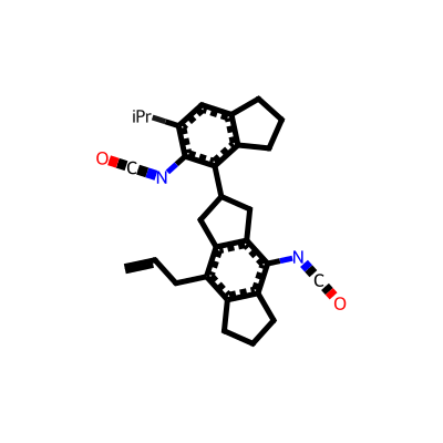 C=CCc1c2c(c(N=C=O)c3c1CC(c1c4c(cc(C(C)C)c1N=C=O)CCC4)C3)CCC2